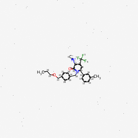 [C-]#[N+]c1c(C(F)(F)F)cc(-c2cccc(C)c2)n(Cc2ccc(COCCC)cc2)c1=O